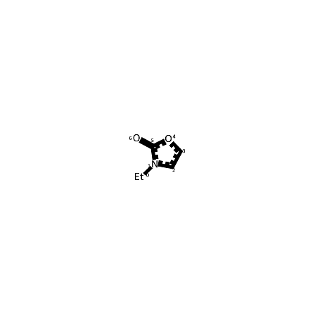 [CH2]Cn1ccoc1=O